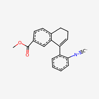 [C-]#[N+]c1ccccc1C1=CCCc2ccc(C(=O)OC)cc21